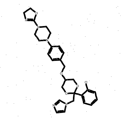 Clc1ccccc1C1(Cn2ccnc2)OCC(OCc2ccc(N3CCN(C4=NCCO4)CC3)cc2)CO1